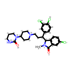 CN1C(=O)c2cc(Cl)ccc2C1C(CCN1CCC(N2CCCNC2=O)CC1)c1ccc(Cl)c(Cl)c1